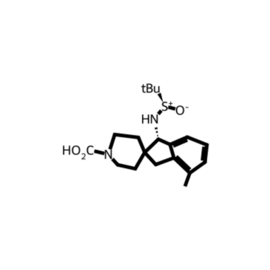 Cc1cccc2c1CC1(CCN(C(=O)O)CC1)[C@@H]2N[S@+]([O-])C(C)(C)C